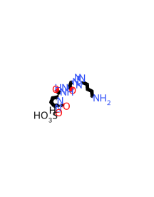 NCCCCc1nnn(CC(=O)NNC(=O)[C@@H]2CC[C@@H]3CN2C(=O)N3OS(=O)(=O)O)n1